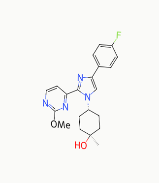 COc1nccc(-c2nc(-c3ccc(F)cc3)cn2[C@H]2CC[C@](C)(O)CC2)n1